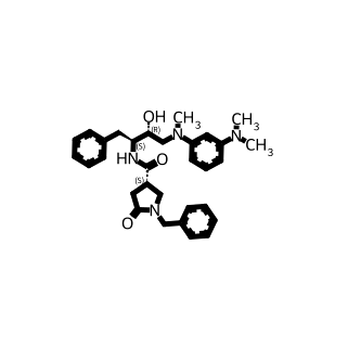 CN(C)c1cccc(N(C)C[C@@H](O)[C@H](Cc2ccccc2)NC(=O)[C@H]2CC(=O)N(Cc3ccccc3)C2)c1